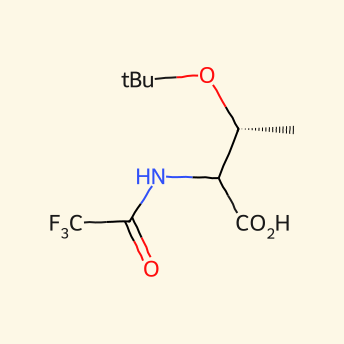 C[C@@H](OC(C)(C)C)C(NC(=O)C(F)(F)F)C(=O)O